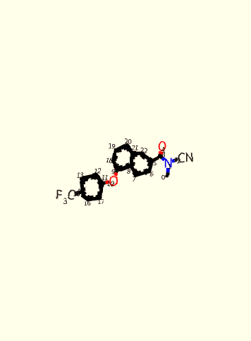 CN(C#N)C(=O)c1ccc2c(Oc3ccc(C(F)(F)F)cc3)cccc2c1